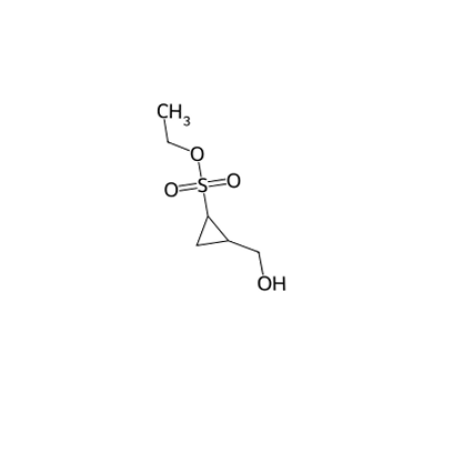 CCOS(=O)(=O)C1CC1CO